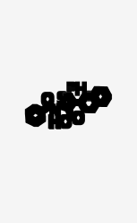 O=C(Nc1sc(P)c(C2CCc3ccccc3C2)c1C(=O)O)c1ccccc1